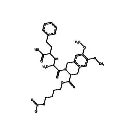 COc1cc2c(cc1OC)CN(C(=O)C(C)NC(CCc1ccccc1)C(=O)O)C(C(=O)OCCCCO[N+](=O)[O-])C2